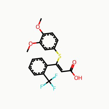 COc1ccc(S/C(=C\C(=O)O)c2ccccc2C(F)(F)F)cc1OC